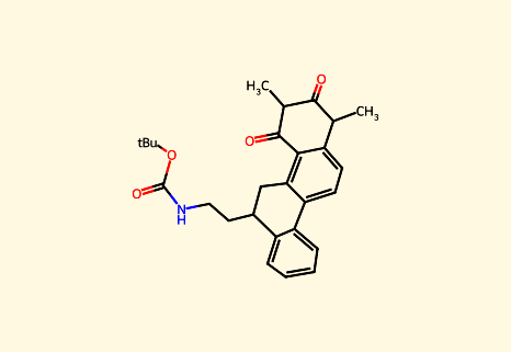 CC1C(=O)c2c(ccc3c2CC(CCNC(=O)OC(C)(C)C)c2ccccc2-3)C(C)C1=O